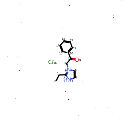 CCc1[nH]cc[n+]1CC(=O)c1ccccc1.[Cl-]